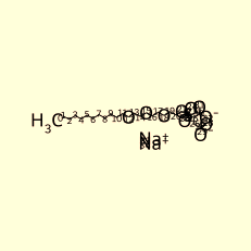 CCCCCCCCCCCCOCCOCCOCCOS(=O)(=O)C(CC(=O)[O-])C(=O)[O-].[Na+].[Na+]